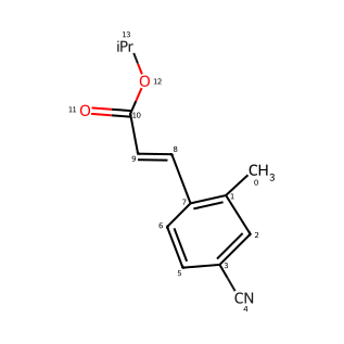 Cc1cc(C#N)ccc1C=CC(=O)OC(C)C